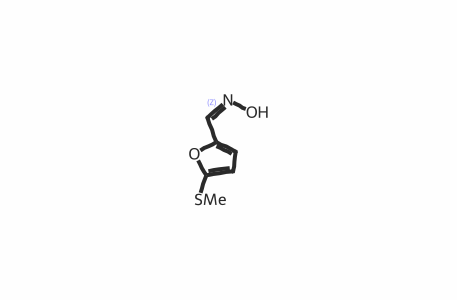 CSc1ccc(/C=N\O)o1